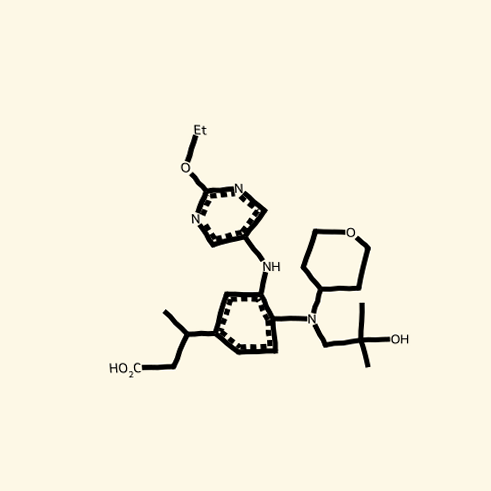 CCOc1ncc(Nc2cc(C(C)CC(=O)O)ccc2N(CC(C)(C)O)C2CCOCC2)cn1